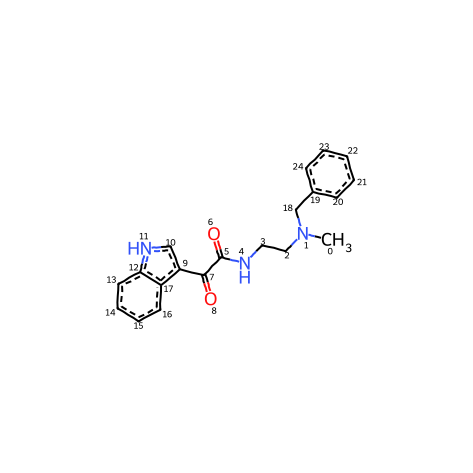 CN(CCNC(=O)C(=O)c1c[nH]c2ccccc12)Cc1ccccc1